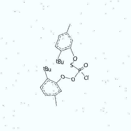 Cc1ccc(C(C)(C)C)c(OOP(=O)(Cl)SOc2cc(C)ccc2C(C)(C)C)c1